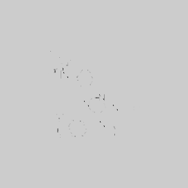 CS(=O)(=O)c1ccc(CN2C(=O)C3COCCN3c3nc(-c4cccc(NS(=O)(=O)C5CC5)c4)ncc32)cc1